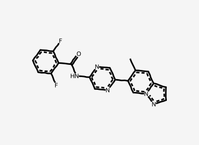 Cc1cc2ccnn2cc1-c1cnc(NC(=O)c2c(F)cccc2F)cn1